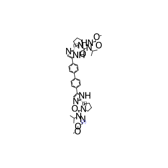 COO/C=N\N(C(=O)N1CCC[C@H]1c1ncc(-c2ccc(-c3ccc(-c4cnc([C@@H]5CCCN5C(=O)N(NC(=O)OC)C(C)C)[nH]4)cc3)cc2)[nH]1)C(C)C